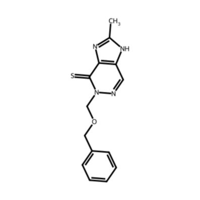 Cc1nc2c(=S)n(COCc3ccccc3)ncc2[nH]1